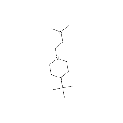 CN(C)CCN1CCN(C(C)(C)C)CC1